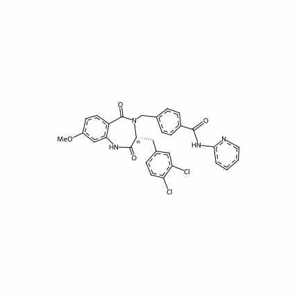 COc1ccc2c(c1)NC(=O)[C@@H](Cc1ccc(Cl)c(Cl)c1)N(Cc1ccc(C(=O)Nc3ccccn3)cc1)C2=O